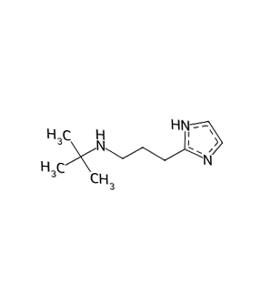 CC(C)(C)NCCCc1ncc[nH]1